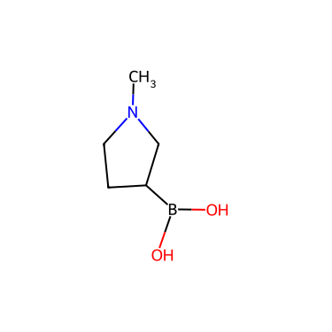 CN1CCC(B(O)O)C1